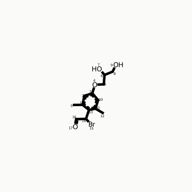 Cc1cc(OCC(O)CO)cc(C)c1C(Br)C=O